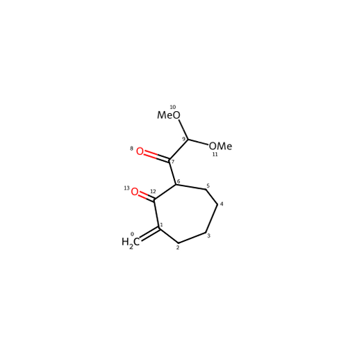 C=C1CCCCC(C(=O)C(OC)OC)C1=O